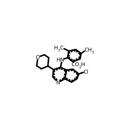 Cc1cc(C)c(Nc2c(C3CCOCC3)cnc3ccc(Cl)cc23)c(C(=O)O)c1